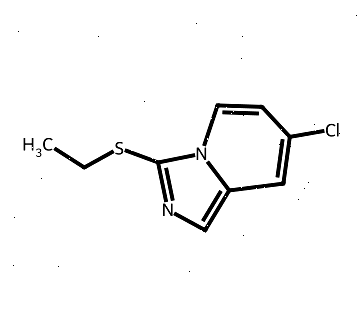 CCSc1ncc2cc(Cl)ccn12